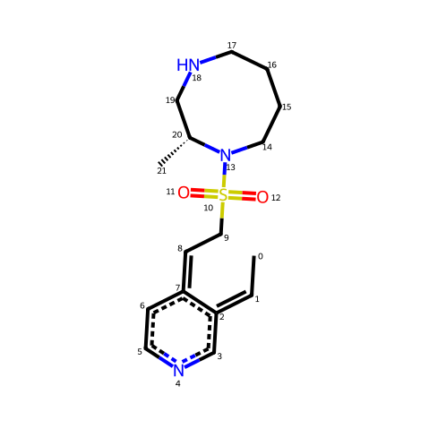 C/C=c1/cncc/c1=C/CS(=O)(=O)N1CCCCNC[C@H]1C